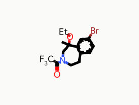 CCOC1(C)CN(C(=O)C(F)(F)F)CCc2ccc(Br)cc21